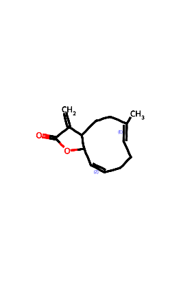 C=C1C(=O)OC2/C=C\CC/C=C(\C)CCC12